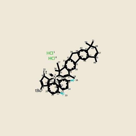 Cl.Cl.[CH2]=[Zr]([C]1=CC(C(C)(C)C)=CC1CC)([c]1cccc(F)c1)([c]1cccc(F)c1)[CH]1C=C(C)c2cc3c(cc2C1(C)C)Cc1cc2c(cc1-3)C(C)=CCC2(C)C